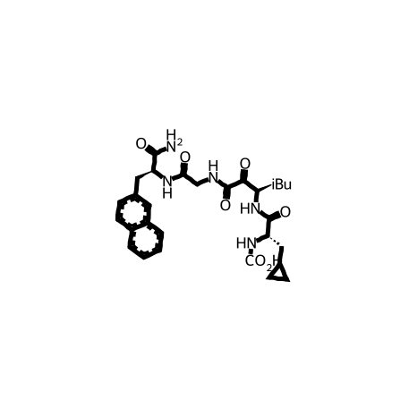 CC[C@H](C)C(NC(=O)[C@H](CC1CC1)NC(=O)O)C(=O)C(=O)NCC(=O)N[C@@H](Cc1ccc2ccccc2c1)C(N)=O